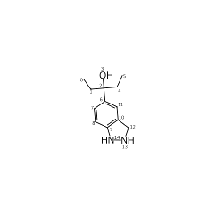 CCC(O)(CC)c1ccc2c(c1)CNN2